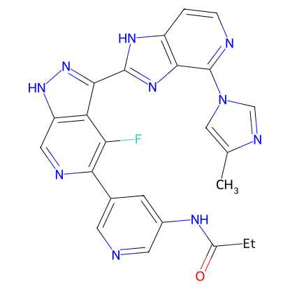 CCC(=O)Nc1cncc(-c2ncc3[nH]nc(-c4nc5c(-n6cnc(C)c6)nccc5[nH]4)c3c2F)c1